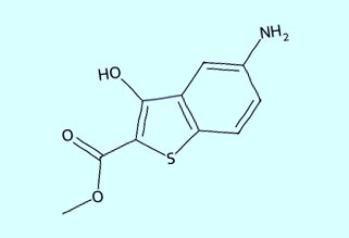 COC(=O)c1sc2ccc(N)cc2c1O